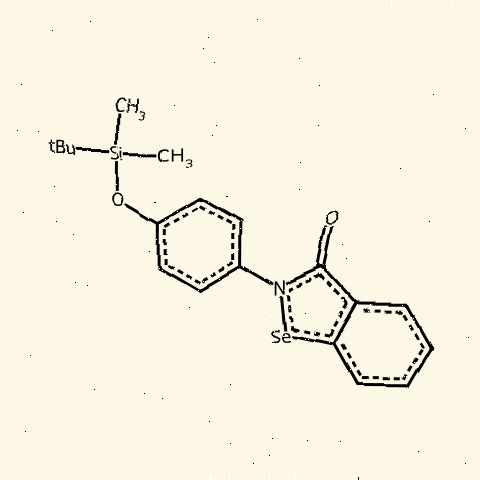 CC(C)(C)[Si](C)(C)Oc1ccc(-n2[se]c3ccccc3c2=O)cc1